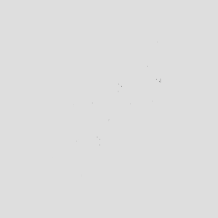 CC(C)c1ccc(CN2CCNC(=O)C2)cn1